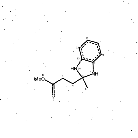 COC(=O)CCC1(C)Nc2ccccc2N1